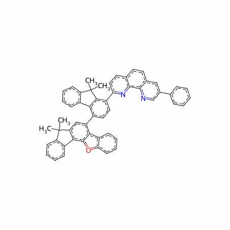 CC1(C)c2ccccc2-c2c1cc(-c1ccc(-c3ccc4ccc5cc(-c6ccccc6)cnc5c4n3)c3c1-c1ccccc1C3(C)C)c1c2oc2ccccc21